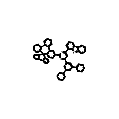 c1ccc(-c2cc(-c3ccccc3)cc(-c3cc(-c4cccc5c4oc4ccccc45)nc(-c4ccc5c(c4)-c4ccccc4-c4ccccc4C54c5ccccc5-c5ccccc54)n3)c2)cc1